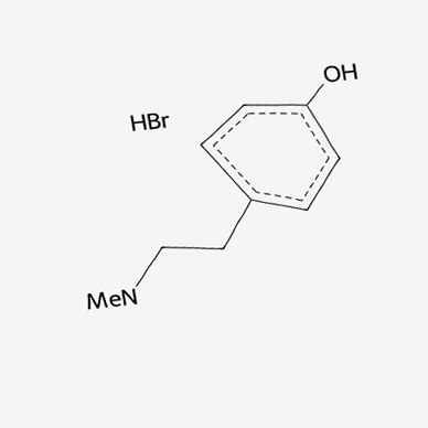 Br.CNCCc1ccc(O)cc1